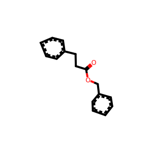 O=C(CCc1ccccc1)OCc1ccccc1